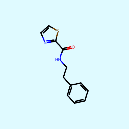 O=C(NCCc1ccccc1)c1nccs1